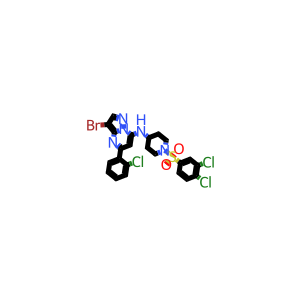 O=S(=O)(c1ccc(Cl)c(Cl)c1)N1CCC(Nc2cc(-c3ccccc3Cl)nc3c(Br)cnn23)CC1